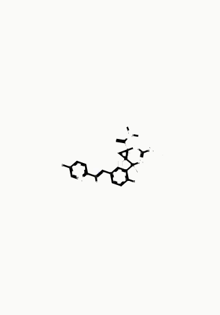 C=C(N(C)C)[C@]12C[C@H]1[C@@](C)(c1cc(/C=C(\F)c3ccc(Cl)cn3)ccc1F)N=C(N)S2